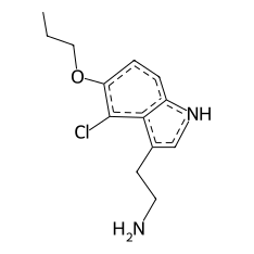 CCCOc1ccc2[nH]cc(CCN)c2c1Cl